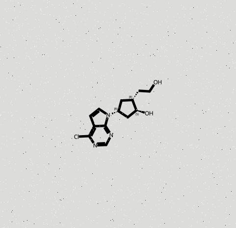 OCC[C@H]1C[C@@H](n2ccc3c(Cl)ncnc32)C[C@@H]1O